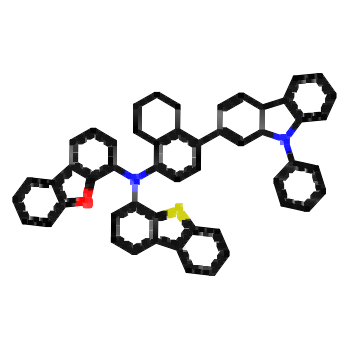 C1=Cc2c(N(c3cccc4c3oc3ccccc34)c3cccc4c3sc3ccccc34)ccc(C3=CC4C(C=C3)c3ccccc3N4c3ccccc3)c2CC1